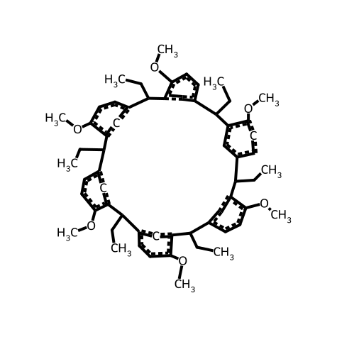 CCC1c2ccc(OC)c(c2)C(CC)c2ccc(OC)c(c2)C(CC)c2ccc(OC)c(c2)C(CC)c2ccc(OC)c(c2)C(CC)c2ccc(OC)c(c2)C(CC)c2ccc(OC)c1c2